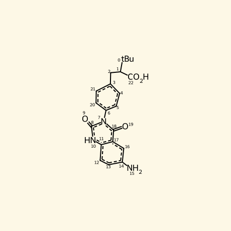 CC(C)(C)C(Cc1ccc(-n2c(=O)[nH]c3ccc(N)cc3c2=O)cc1)C(=O)O